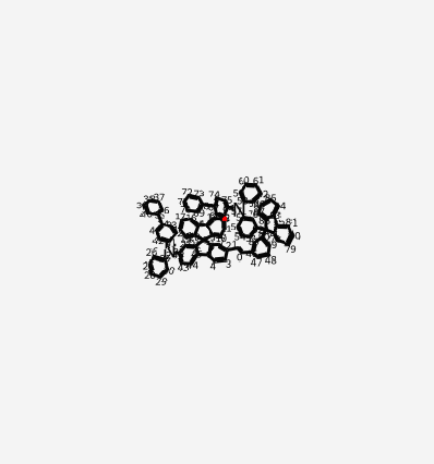 C(=C\c1ccc2c(c1)C1(c3ccccc3-c3ccccc31)c1cc(N(c3ccccc3)c3ccc(-c4ccccc4)cc3)ccc1-2)/c1cccc(C2(c3cccc(N(c4ccccc4)c4ccc(-c5ccccc5)cc4)c3)c3ccccc3-c3ccccc32)c1